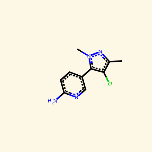 Cc1nn(C)c(-c2ccc(N)nc2)c1Cl